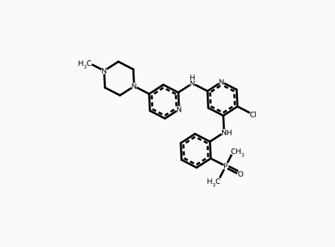 CN1CCN(c2ccnc(Nc3cc(Nc4ccccc4P(C)(C)=O)c(Cl)cn3)c2)CC1